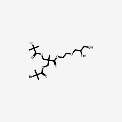 CC(C)(Br)C(=O)OCC(C)(COC(=O)C(C)(C)Br)C(=O)OCCOCC(O)CO